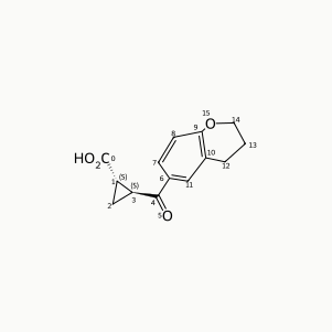 O=C(O)[C@H]1C[C@@H]1C(=O)c1ccc2c(c1)CCCO2